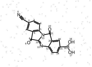 N#Cc1ccc2c(c1)C(=O)c1nc3ccc(B(O)O)cc3c(=O)n1-2